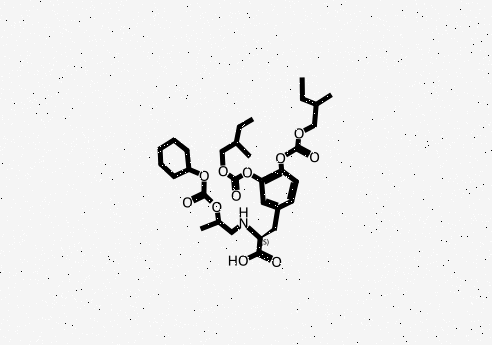 CCC(C)COC(=O)Oc1ccc(C[C@H](NCC(C)OC(=O)OC2CCCCC2)C(=O)O)cc1OC(=O)OCC(C)CC